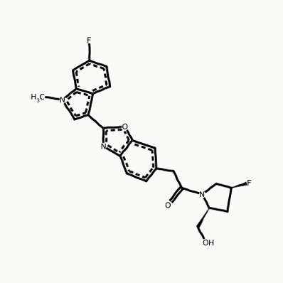 Cn1cc(-c2nc3ccc(CC(=O)N4C[C@@H](F)C[C@H]4CO)cc3o2)c2ccc(F)cc21